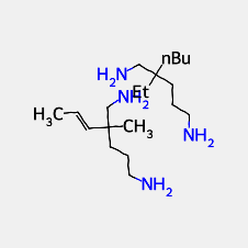 CC=CC(C)(CN)CCCN.CCCCC(CC)(CN)CCCN